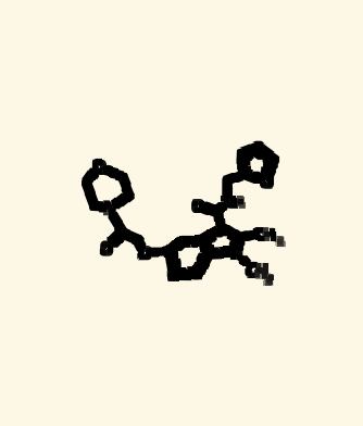 Cc1c(C(=O)NCc2ccco2)c2cc(OCC(=O)N3CCOCC3)ccc2n1C